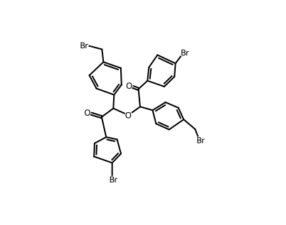 O=C(c1ccc(Br)cc1)C(OC(C(=O)c1ccc(Br)cc1)c1ccc(CBr)cc1)c1ccc(CBr)cc1